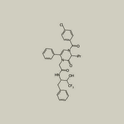 CC(C)C1C(=O)N(CC(=O)NC(Cc2ccccc2)C(O)C(F)(F)F)C(c2ccccc2)=CN1C(=O)c1ccc(Cl)cc1